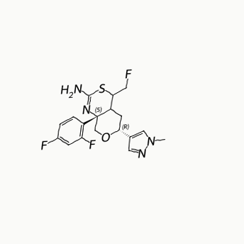 Cn1cc([C@H]2CC3C(CF)SC(N)=N[C@@]3(c3ccc(F)cc3F)CO2)cn1